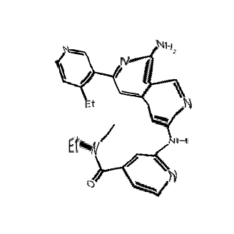 CCc1ccncc1-c1cc2cc(Nc3cc(C(=O)N(C)CC)ccn3)ncc2c(N)n1